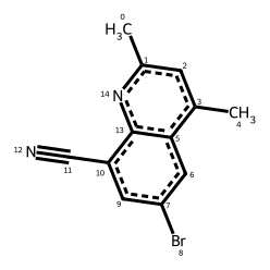 Cc1cc(C)c2cc(Br)cc(C#N)c2n1